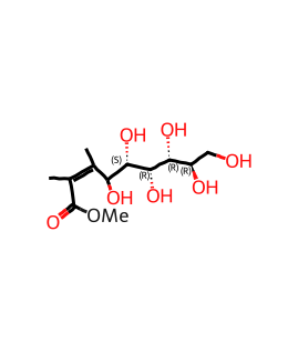 COC(=O)C(C)=C(C)C(O)[C@H](O)[C@@H](O)[C@H](O)[C@H](O)CO